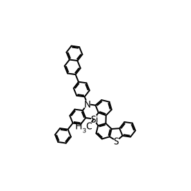 C[Si]12c3cc(-c4ccccc4)ccc3N(c3ccc(-c4ccc5ccccc5c4)cc3)c3cccc(c31)-c1c2ccc2sc3ccccc3c12